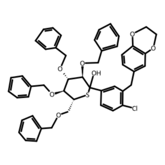 OC1(c2ccc(Cl)c(Cc3ccc4c(c3)OCCO4)c2)S[C@H](COCc2ccccc2)[C@@H](OCc2ccccc2)[C@H](OCc2ccccc2)[C@H]1OCc1ccccc1